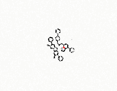 CC(C)(C)c1cc2c(cc1-c1ccccc1)[CH]([Zr+2]([C]1=CC=CC1)=[C](Cc1ccc(-c3ccccc3)cc1)Cc1ccc(-c3ccccc3)cc1)c1cc(-c3ccccc3)c(C(C)(C)C)cc1-2.[Cl-].[Cl-]